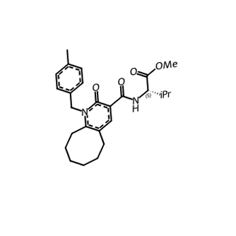 COC(=O)[C@@H](NC(=O)c1cc2c(n(Cc3ccc(C)cc3)c1=O)CCCCCC2)C(C)C